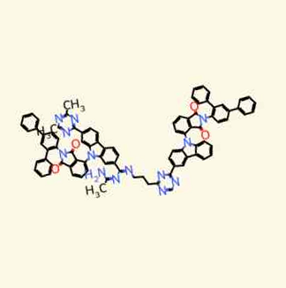 C/C(N)=N/C(=N\CCCc1ncnc(-c2ccc3c(c2)c2ccccc2n3-c2cccc3c2C(=O)N(c2ccc(-c4ccccc4)cc2-c2ccccc2)C3=O)n1)c1ccc2c3ccc(-c4nc(C)nc(C)n4)cc3n(-c3cccc4c3C(=O)N(c3ccc(-c5ccccc5)cc3-c3ccccc3)C4=O)c2c1